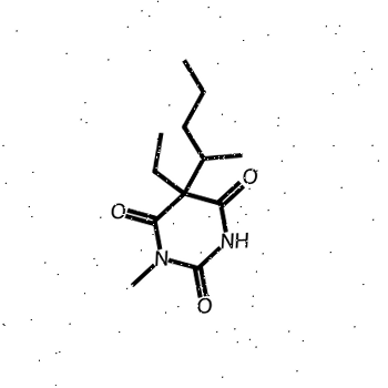 CCCC(C)C1(CC)C(=O)NC(=O)N(C)C1=O